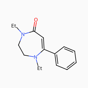 CCN1CCN(CC)C(c2ccccc2)=CC1=O